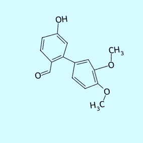 COc1ccc(-c2cc(O)ccc2C=O)cc1OC